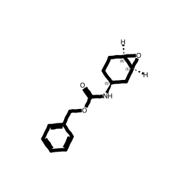 O=C(N[C@H]1CC[C@H]2O[C@H]2C1)OCc1ccccc1